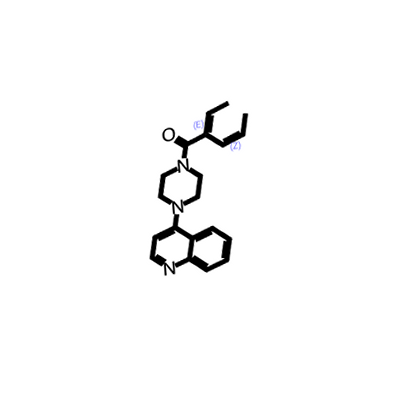 C/C=C\C(=C/C)C(=O)N1CCN(c2ccnc3ccccc23)CC1